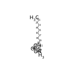 CCCCCCCCCCCCC(C)P(=O)(O)O